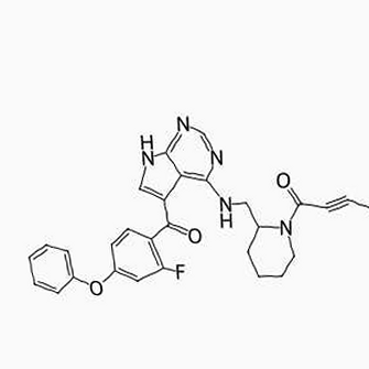 CC#CC(=O)N1CCCCC1CNc1ncnc2[nH]cc(C(=O)c3ccc(Oc4ccccc4)cc3F)c12